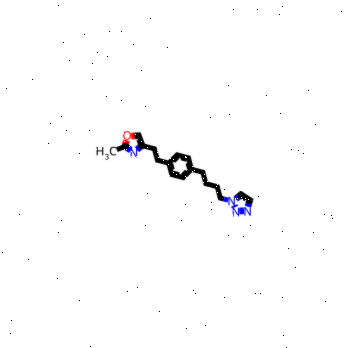 Cc1nc(CCc2ccc(CCCCn3ccnn3)cc2)co1